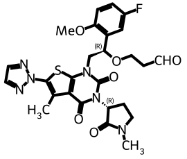 COc1ccc(F)cc1[C@H](Cn1c(=O)n([C@@H]2CCN(C)C2=O)c(=O)c2c(C)c(-n3nccn3)sc21)OCCC=O